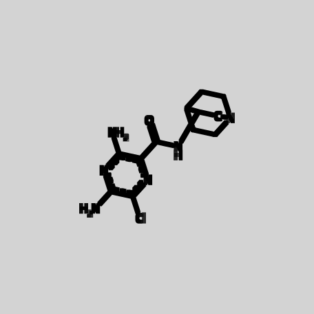 Nc1nc(N)c(C(=O)NC2CN3CCC2CC3)nc1Cl